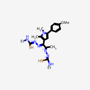 CCN/C(S)=N/N=C(C)/C(=N/N=C(\S)NCC)c1cc(-c2ccc(OC)cc2)n(C)c1C